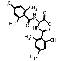 Cc1cc(C)c(C(=O)PC(PC(=O)c2c(C)cc(C)cc2C)C(=O)O)c(C)c1